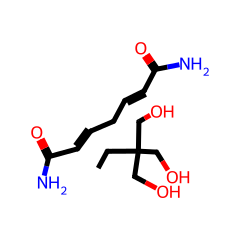 CCC(CO)(CO)CO.NC(=O)C=CCC=CC(N)=O